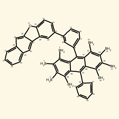 Bc1c(B)c(B)c2c(-c3cccc(-c4ccc5oc6cc7ccccc7cc6c5c4)c3)c3c(B)c(B)c(B)c(B)c3c(-c3ccccc3)c2c1B